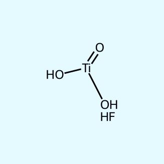 F.[O]=[Ti]([OH])[OH]